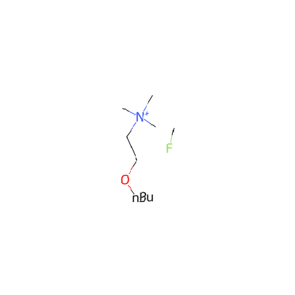 CCCCOCC[N+](C)(C)C.CF